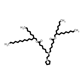 CCCCCCCCCCCC(CCCCCC)COC(=O)CCCCCN(CCCCCC(=O)OCC(CCCCCC)CCCCCCCC)CCN1CCCC1